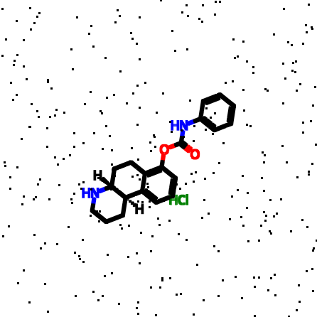 Cl.O=C(Nc1ccccc1)Oc1cccc2c1CC[C@H]1NCCC[C@H]21